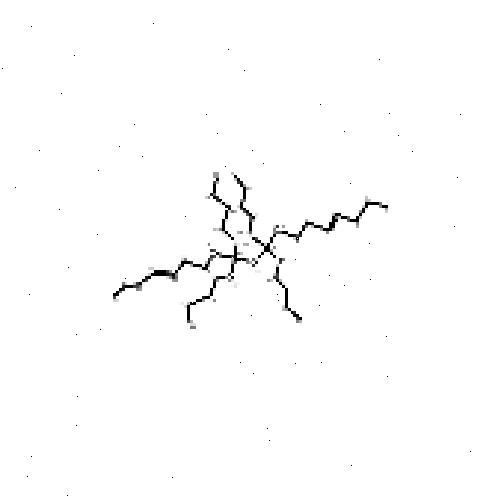 CCCC=CCCOC(OCCCC)(OCCCC)OC(OCCC=CCCC)(OCCCC)OCCCC